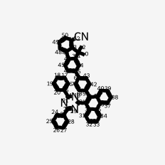 CC1(C)c2cc(-c3ccc(-c4c(-c5nc(-c6ccccc6)nc(-c6ccccc6)n5)c5ccccc5c5ccccc45)cc3)ccc2-c2cccc(C#N)c21